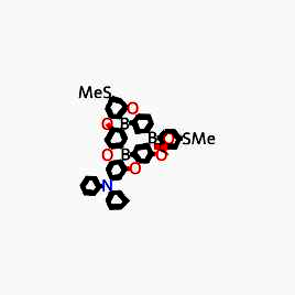 CSc1cc2c3c(c1)Oc1cc4c(cc1B3c1ccccc1O2)B1c2cc3c(cc2Oc2cc(N(c5ccccc5)c5ccccc5)cc(c21)O4)Oc1cc(SC)cc2c1B3c1ccccc1O2